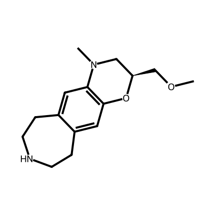 COC[C@@H]1CN(C)c2cc3c(cc2O1)CCNCC3